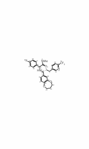 CNC(=O)[C@@H](N[C@H](CCc1ccc(C(F)(F)F)nc1)c1ccc2c(c1)OCCCO2)c1ccc(F)cc1